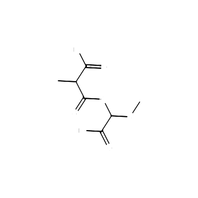 CSC(OC(=O)C(C)C(=O)O)C(=O)O